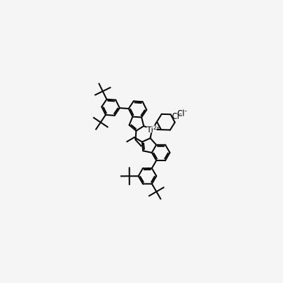 CCC1=Cc2c(-c3cc(C(C)(C)C)cc(C(C)(C)C)c3)cccc2[CH]1[Ti+2]1([CH]2C(CC)=Cc3c(-c4cc(C(C)(C)C)cc(C(C)(C)C)c4)cccc32)[CH]2CCCC[CH]21.[Cl-].[Cl-]